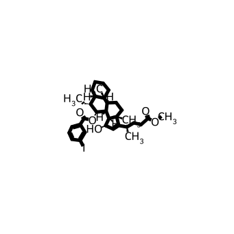 CC[C@H]1[C@@H](OC(=O)c2cccc(I)c2)[C@H]2[C@@H]3[C@@H](O)C=C([C@H](C)CCC(=O)OC)[C@@]3(C)CC[C@@H]2[C@@]2(C)CCCC[C@@H]12